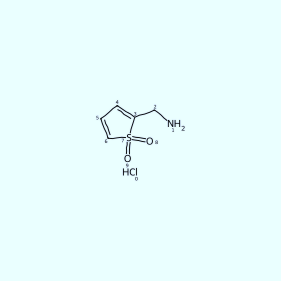 Cl.NCC1=CC=CS1(=O)=O